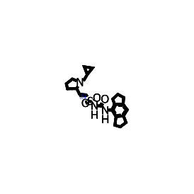 O=C(Nc1c2c(cc3c1CCC3)CCC2)NS(=O)(=O)/C=C/C1CCCN1CC1CC1